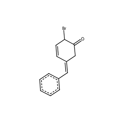 O=C1CC(=Cc2ccccc2)C=CC1Br